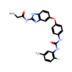 COCC(=O)Nc1nc2cc(Oc3ccc(NC(=O)Nc4cc(C(F)(F)F)ccc4F)cc3)ccc2[nH]1